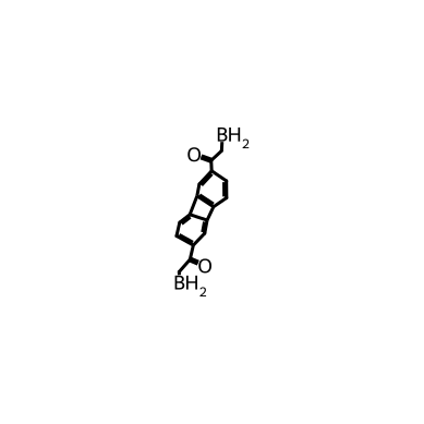 BCC(=O)c1ccc2c(c1)-c1ccc(C(=O)CB)cc1-2